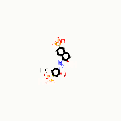 COc1cc(S(=O)(=O)O)c(C)cc1/N=N/c1c(O)ccc2cc(S(=O)(=O)O)ccc12